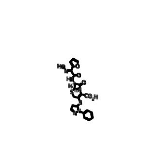 O=C(O)C1=C(Sc2ccnn2-c2ccccc2)CS[C@H]2[C@H](NC(=O)C(=NO)c3ccco3)C(=O)N12